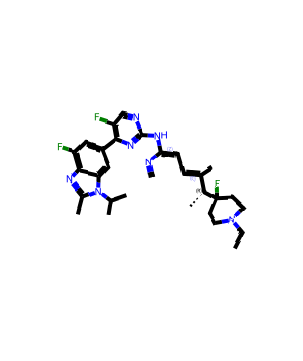 C=N/C(=C\C=C(/C)[C@@H](C)C1(F)CCN(CC)CC1)Nc1ncc(F)c(-c2cc(F)c3nc(C)n(C(C)C)c3c2)n1